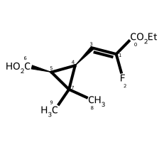 CCOC(=O)C(F)=C[C@@H]1[C@H](C(=O)O)C1(C)C